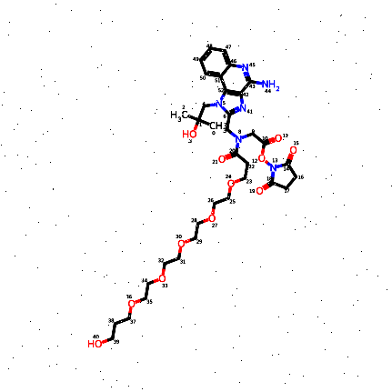 CC(C)(O)Cn1c(CN(CC(=O)ON2C(=O)CCC2=O)C(=O)CCOCCOCCOCCOCCOCCCO)nc2c(N)nc3ccccc3c21